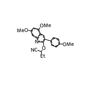 CCC(C#N)Oc1nc2cc(OC)cc(OC)c2cc1-c1ccc(OC)cc1